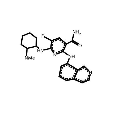 CNC1CCCCC1Nc1nc(Nc2cccc3ccncc23)c(C(N)=O)cc1F